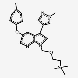 Cc1ccc(Oc2cnc3c(c2)c(-c2cnn(C)c2)cn3COCC[Si](C)(C)C)cc1